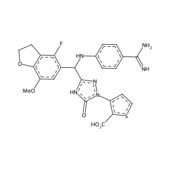 COc1cc(C(Nc2ccc(C(=N)N)cc2)c2nn(-c3ccsc3C(=O)O)c(=O)[nH]2)c(F)c2c1OCC2